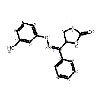 O=C1NCC(/C(=N\Oc2cccc(O)c2)c2ccccc2)O1